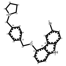 Brc1ccc2[nH]c3cccc(OCc4ccc(CN5CCCC5)cc4)c3c2c1